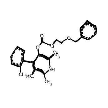 CC1=C(C#N)C(c2ccccc2Cl)C(OC(=O)OCCOCc2ccccc2)=C(C)N1